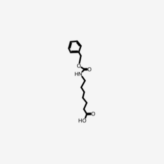 O=C(O)CCCCCCNC(=O)OCc1ccccc1